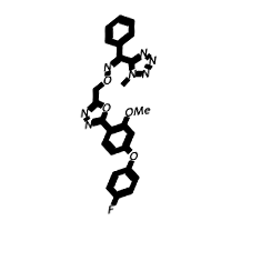 COc1cc(Oc2ccc(F)cc2)ccc1-c1nnc(CO/N=C(/c2ccccc2)c2nnnn2C)o1